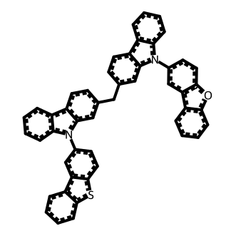 c1ccc2c(c1)oc1ccc(-n3c4ccccc4c4ccc(Cc5ccc6c7ccccc7n(-c7ccc8sc9ccccc9c8c7)c6c5)cc43)cc12